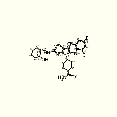 NC(=O)[C@H]1CC[C@@H](n2c(Nc3c(Cl)cc(F)cc3Cl)nc3cnc(NC[C@@H]4CCCC[C@@H]4O)nc32)CC1